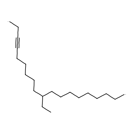 [CH2]CC#CCCCCCC(CC)CCCCCCCC[CH2]